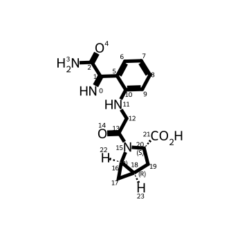 N=C(C(N)=O)c1ccccc1NCC(=O)N1[C@@H]2C[C@@H]2C[C@H]1C(=O)O